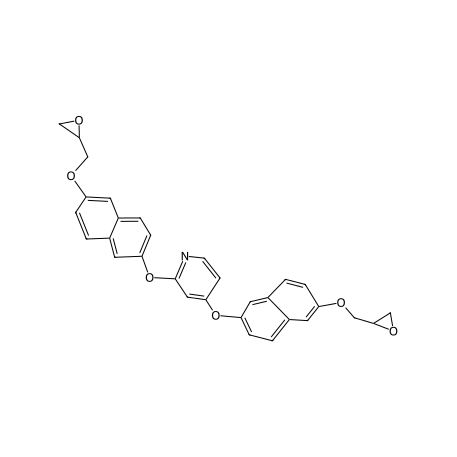 c1cc(Oc2ccc3cc(OCC4CO4)ccc3c2)cc(Oc2ccc3cc(OCC4CO4)ccc3c2)n1